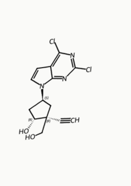 C#C[C@@]1(CO)C[C@H](n2ccc3c(Cl)nc(Cl)nc32)C[C@H]1O